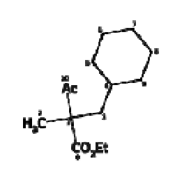 CCOC(=O)C(C)(CC1CCCCC1)C(C)=O